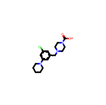 O=C(O)N1CCN(Cc2cc(Cl)cc(N3CCCCC3)c2)CC1